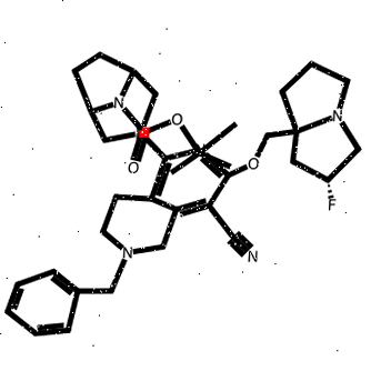 CC(C)(C)OC(=O)N1C2CCC1CN(c1nc(OCC34CCCN3C[C@H](F)C4)c(C#N)c3c1CCN(Cc1ccccc1)C3)C2